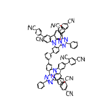 N#Cc1ccc(-c2ccc3c(c2)c2cc(-c4ccc(C#N)cc4C#N)ccc2n3-c2cc(-c3cccc(-c4ccc(-c5nc(-c6ccccc6)nc(-c6ccccc6)n5)c(-n5c6ccc(-c7ccc(C#N)cc7C#N)cc6c6cc(-c7ccc(C#N)cc7C#N)ccc65)c4)c3)ccc2-c2nc(-c3ccccc3)nc(-c3ccccc3)n2)c(C#N)c1